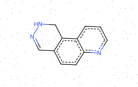 C1=NNCc2c1ccc1ncccc21